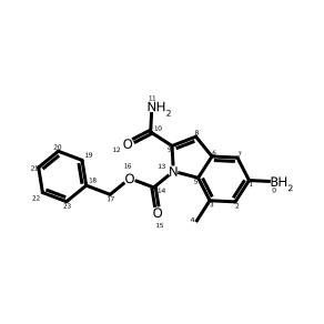 Bc1cc(C)c2c(c1)cc(C(N)=O)n2C(=O)OCc1ccccc1